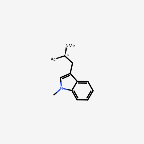 CN[C@@H](Cc1cn(C)c2ccccc12)C(C)=O